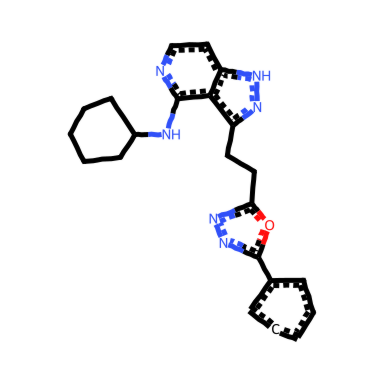 c1ccc(-c2nnc(CCc3n[nH]c4ccnc(NC5CCCCC5)c34)o2)cc1